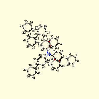 c1ccc(-c2ccc(N(c3ccc(-c4cccc(-c5ccccc5)c4-c4ccccc4)cc3)c3ccc(-c4ccccc4)cc3-c3ccccc3)c(-c3ccccc3)c2)cc1